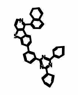 C1=Cc2cccc(-c3nccc4sc5cc(-c6cccc(-c7nc(-c8ccccc8)nc(-c8ccccc8)n7)c6)ccc5c34)c2CC1